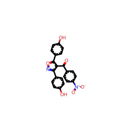 O=C(c1ccc([N+](=O)[O-])cc1)c1c(-c2ccc(O)cc2)noc1-c1ccc(O)cc1